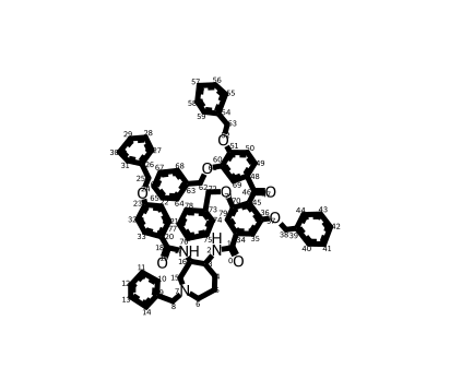 O=C(NC1CCCN(Cc2ccccc2)CC1NC(=O)c1ccc(OCc2ccccc2)cc1)c1cc(OCc2ccccc2)c(C(=O)c2ccc(OCc3ccccc3)c(OCc3ccccc3)c2)c(OCc2ccccc2)c1